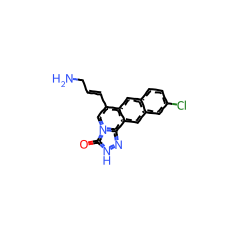 NCC=Cc1cn2c(=O)[nH]nc2c2cc3cc(Cl)ccc3cc12